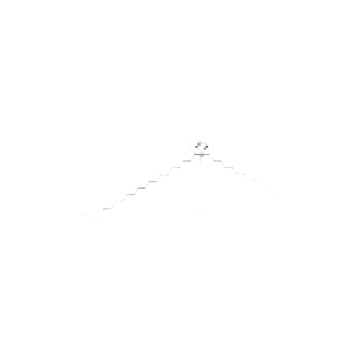 CCCCCCCCCCCCCCCCCCC(F)(CCCCCCCCCC)S(=O)(=O)[O-].[K+]